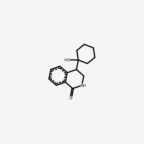 O=C1NCC(C2(O)CCCCC2)c2ccccc21